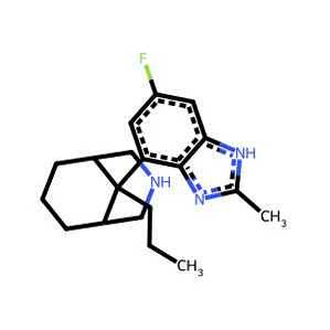 CCCC1(c2cc(F)cc3[nH]c(C)nc23)C2CCCC1CNC2